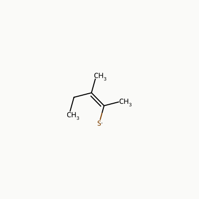 CCC(C)=C(C)[S]